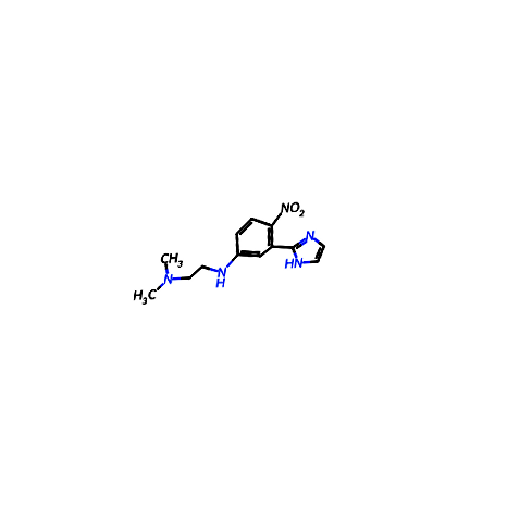 CN(C)CCNc1ccc([N+](=O)[O-])c(-c2ncc[nH]2)c1